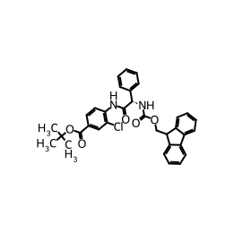 CC(C)(C)OC(=O)c1ccc(NC(=O)[C@@H](NC(=O)OCC2c3ccccc3-c3ccccc32)c2ccccc2)c(Cl)c1